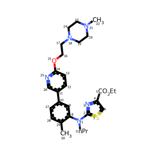 CCCN(c1nc(C(=O)OCC)cs1)c1cc(-c2ccc(OCCN3CCN(C)CC3)nc2)ccc1C